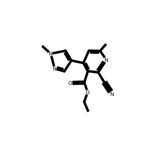 CCOC(=O)c1c(-c2cnn(C)c2)cc(C)nc1C#N